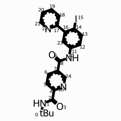 CC(C)(C)NC(=O)c1ccc(C(=O)Nc2ccc(I)c(-c3ccccn3)c2)cn1